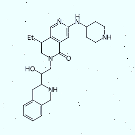 CCC1CN(CC(O)C2Cc3ccccc3CN2)C(=O)c2cc(NC3CCNCC3)ncc21